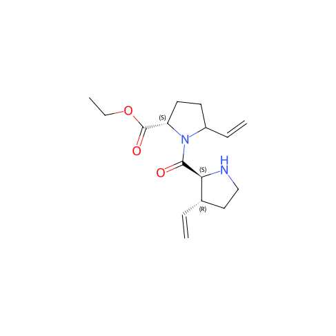 C=CC1CC[C@@H](C(=O)OCC)N1C(=O)[C@H]1NCC[C@@H]1C=C